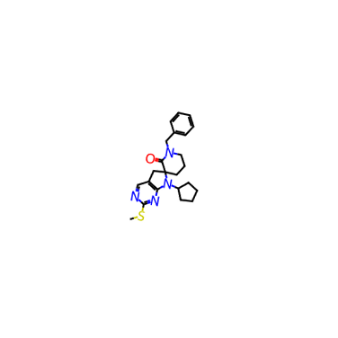 CSc1ncc2c(n1)N(C1CCCC1)C1(CCCN(Cc3ccccc3)C1=O)C2